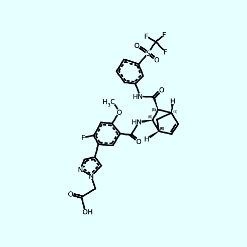 COc1cc(F)c(-c2cnn(CC(=O)O)c2)cc1C(=O)N[C@H]1[C@@H](C(=O)Nc2cccc(S(=O)(=O)C(F)(F)F)c2)[C@@H]2C=C[C@H]1C2